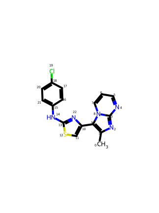 Cc1nc2ncccn2c1-c1csc(Nc2ccc(Cl)cc2)n1